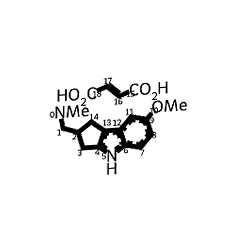 CNCC1Cc2[nH]c3ccc(OC)cc3c2C1.O=C(O)C=CC(=O)O